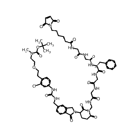 CN(CCOCCc1ccc(NC(=O)NCc2ccc3c(c2)CN(C2CCC(=O)N(CNC(=O)CNC(=O)CNC(=O)[C@H](Cc4ccccc4)NC(=O)CNC(=O)CNC(=O)CCCCCN4C(=O)C=CC4=O)C2=O)C3=O)cc1Cl)C(=O)OC(C)(C)C